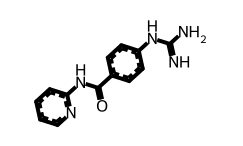 N=C(N)Nc1ccc(C(=O)Nc2ccccn2)cc1